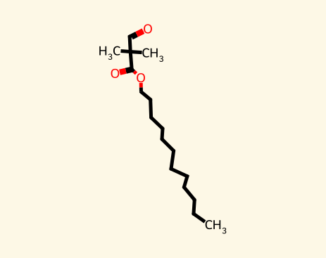 CCCCCCCCCCCCOC(=O)C(C)(C)C=O